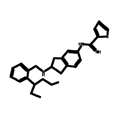 CCCC(CC)c1ccccc1CNC1Cc2ccc(NC(=N)c3cccs3)cc2C1